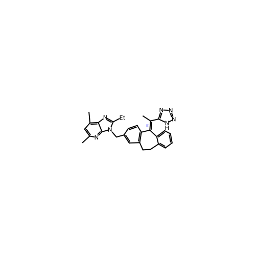 CCc1nc2c(C)cc(C)nc2n1Cc1ccc2c(c1)CCc1ccccc1/C2=C(/C)c1nnn[nH]1